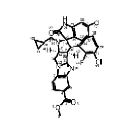 COC(=O)c1ccc2c(c1)nc1n2C[C@@H]2[C@H]1[C@H](c1cccc(Cl)c1F)[C@@]1(C(=O)Nc3cc(Cl)ccc31)N2CC1CC1